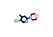 Cc1cc(N2CCOCC2)ncc1Br